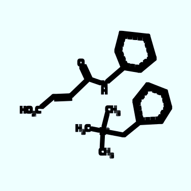 C[N+](C)(C)Cc1ccccc1.O=C(O)C=CC(=O)Nc1ccccc1